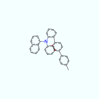 Cc1ccc(-c2ccc(-c3ccccc3N(c3ccccc3)c3cccc4ccccc34)cc2)cc1